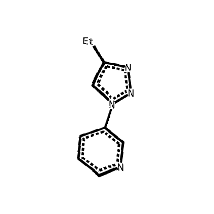 CCc1cn(-c2cccnc2)nn1